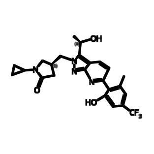 Cc1cc(C(F)(F)F)cc(O)c1-c1ccc2c([C@@H](C)O)n(C[C@H]3CC(=O)N(C4CC4)C3)nc2n1